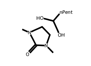 CCCCCC(O)O.CN1CCN(C)C1=O